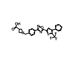 O=C(O)C1CN(Cc2ccc(-c3noc(-c4cc(-c5ccccc5)c(C(F)(F)F)s4)n3)cc2)C1